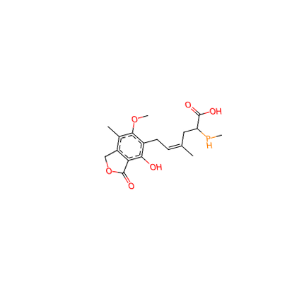 COc1c(C)c2c(c(O)c1CC=C(C)CC(PC)C(=O)O)C(=O)OC2